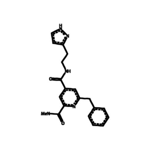 CNC(=O)c1cc(C(=O)NCCc2cc[nH]n2)cc(Cc2ccccc2)n1